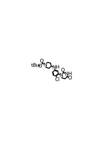 CC(C)(C)OC(=O)N1CCC(Nc2ccc(Cl)c(N3CCC(=O)NC3=O)c2)CC1